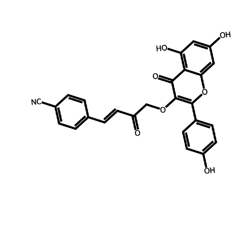 N#Cc1ccc(/C=C/C(=O)COc2c(-c3ccc(O)cc3)oc3cc(O)cc(O)c3c2=O)cc1